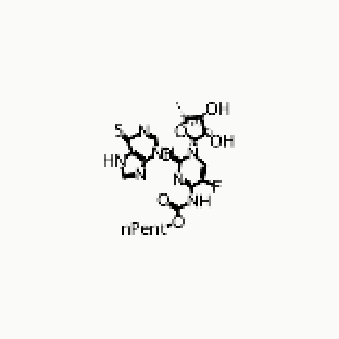 CCCCCOC(=O)Nc1nc(=O)n([C@@H]2O[C@H](C)[C@@H](O)[C@H]2O)cc1F.S=c1nc[nH]c2nc[nH]c12